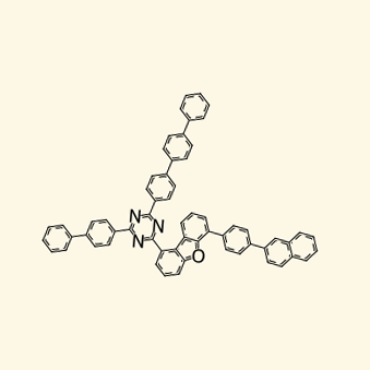 c1ccc(-c2ccc(-c3ccc(-c4nc(-c5ccc(-c6ccccc6)cc5)nc(-c5cccc6oc7c(-c8ccc(-c9ccc%10ccccc%10c9)cc8)cccc7c56)n4)cc3)cc2)cc1